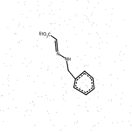 CCOC(=O)C=NNCc1ccccc1